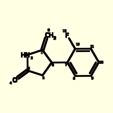 C=C1NC(=O)CC1c1ccccc1F